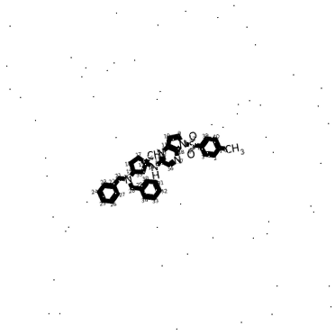 Cc1ccc(S(=O)(=O)n2ccc3nc(NC4(C)CCC(N(Cc5ccccc5)Cc5ccccc5)C4)cnc32)cc1